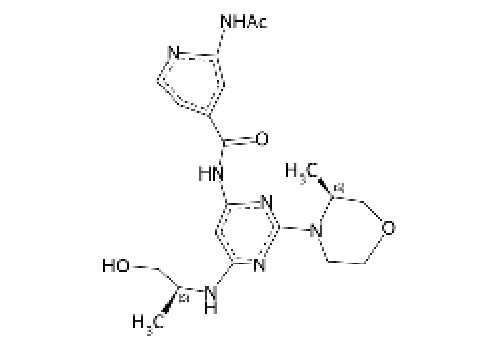 CC(=O)Nc1cc(C(=O)Nc2cc(N[C@@H](C)CO)nc(N3CCOC[C@@H]3C)n2)ccn1